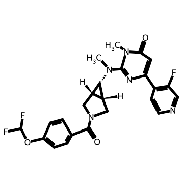 CN(c1nc(-c2ccncc2F)cc(=O)n1C)[C@@H]1[C@@H]2CN(C(=O)c3ccc(OC(F)F)cc3)C[C@@H]21